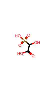 O=C(O)C(O)S(=O)(=O)O